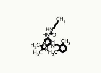 CCCCNC(=O)Nc1cc(NCc2c(C)cccc2C)c2nc(C)c(C)n2c1